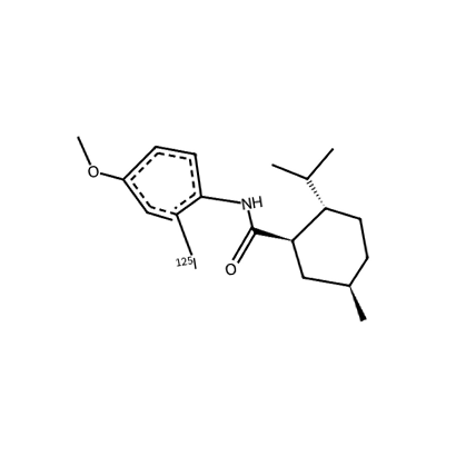 COc1ccc(NC(=O)[C@@H]2C[C@H](C)CC[C@H]2C(C)C)c([125I])c1